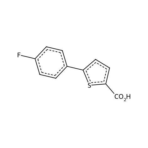 O=C(O)c1ccc(-c2ccc(F)cc2)s1